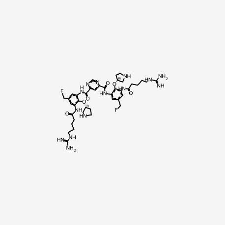 N=C(N)NCCCCC(=O)Nc1cc(CF)cc(NC(=O)c2cc(C(=O)Nc3cc(CF)cc(NC(=O)CCCCNC(=N)N)c3O[C@@H]3CCNC3)ncn2)c1O[C@@H]1CCNC1